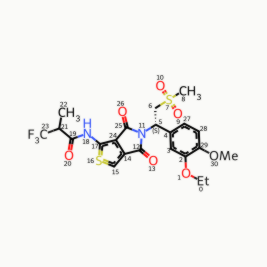 CCOc1cc([C@@H](CS(C)(=O)=O)N2C(=O)c3csc(NC(=O)C(C)C(F)(F)F)c3C2=O)ccc1OC